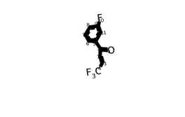 O=C(C=CC(F)(F)F)c1cccc(F)c1